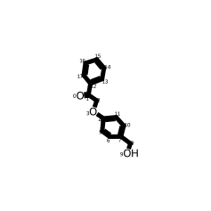 O=C(COc1ccc(CO)cc1)c1ccccc1